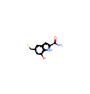 NC(=O)c1cc2cc(CF)cc(Br)c2[nH]1